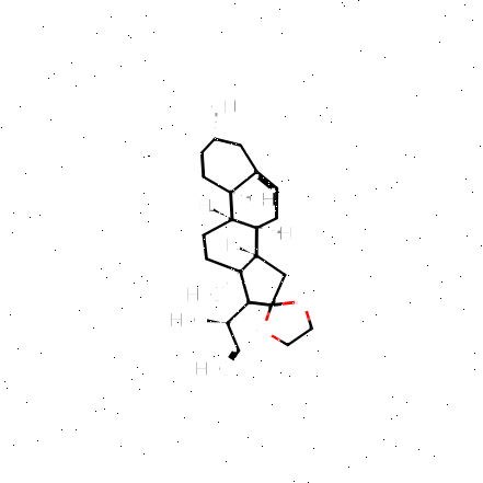 C=C[C@@H](C)C1C2(C[C@H]3[C@@H]4CC=C5C[C@@H](C)CC[C@]5(C)[C@H]4CC[C@]13C)OCCO2